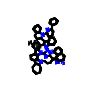 CCc1c(C2=C(C)Cc3ccccc3N2c2cccc(-c3ccccc3)n2)c2ccccc2n1N1NC(Cc2ccccc2)N=C1n1c2ccccc2c2ccc3c4c(n(C/C=C\C=C(/N)c5ccccc5)c3c21)C=CC=CC4